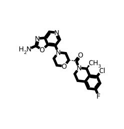 C[C@H]1c2c(Cl)cc(F)cc2CCN1C(=O)[C@H]1CN(c2cncc3nc(N)oc23)CCO1